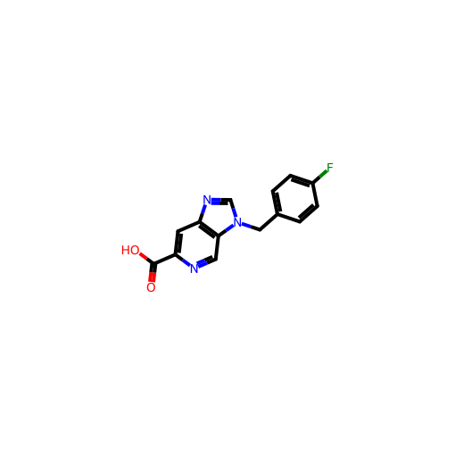 O=C(O)c1cc2ncn(Cc3ccc(F)cc3)c2cn1